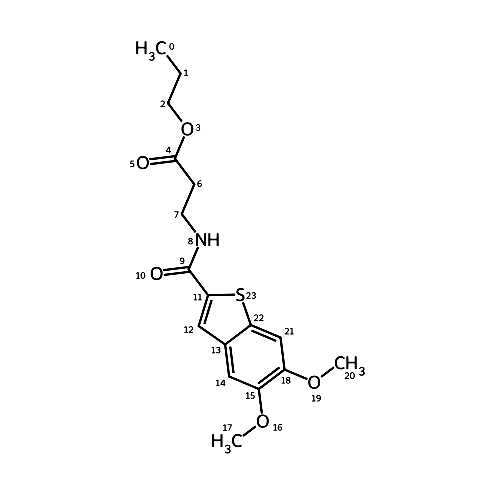 CCCOC(=O)CCNC(=O)c1cc2cc(OC)c(OC)cc2s1